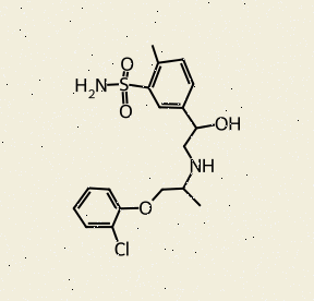 Cc1ccc(C(O)CNC(C)COc2ccccc2Cl)cc1S(N)(=O)=O